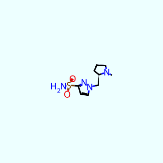 CN1CCC[C@@H]1Cn1ccc(S(N)(=O)=O)n1